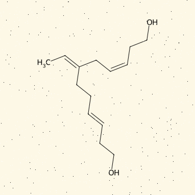 C/C=C(/C/C=C\CCO)CC/C=C/CCO